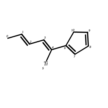 CC=CC=[C]([Ti])C1=CC=CC1